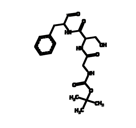 CC(C)(C)OC(=O)NCC(=O)NC(CO)C(=O)NC([C]=O)Cc1ccccc1